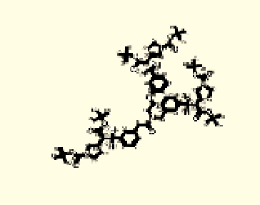 [2H]C([2H])(c1cccc(CC(=O)N(CCOc2cccc(C([2H])([2H])[C@H](C(=O)OC(C)(C)C)[C@H]3CCN(C(=O)OC(C)(C)C)C3)c2)Cc2cccc(C([2H])([2H])[C@H](C(=O)OC(C)(C)C)[C@H]3CCN(C(=O)OC(C)(C)C)C3)c2)c1)[C@H](C(=O)OC(C)(C)C)[C@H]1CCN(C(=O)OC(C)(C)C)C1